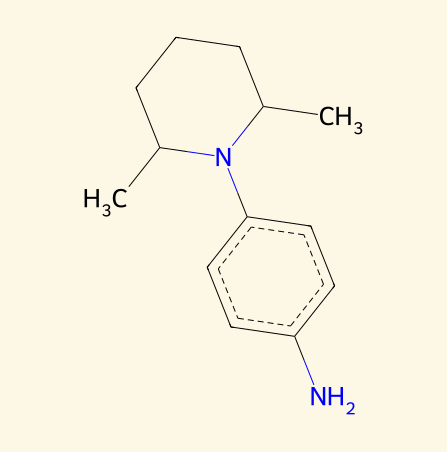 CC1CCCC(C)N1c1ccc(N)cc1